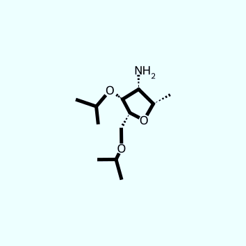 CC(C)OC[C@H]1O[C@@H](C)[C@@H](N)[C@H]1OC(C)C